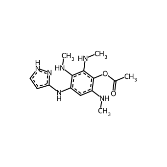 CNc1cc(Nc2cc[nH]n2)c(NC)c(NC)c1OC(C)=O